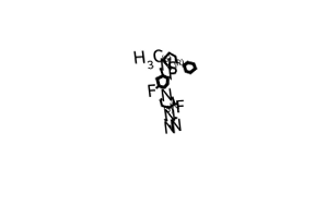 C[C@H]1CC[C@H](c2ccccc2)SN1Cc1cc(F)c(N2CC[C@H](n3cnnc3)[C@H](F)C2)cc1F